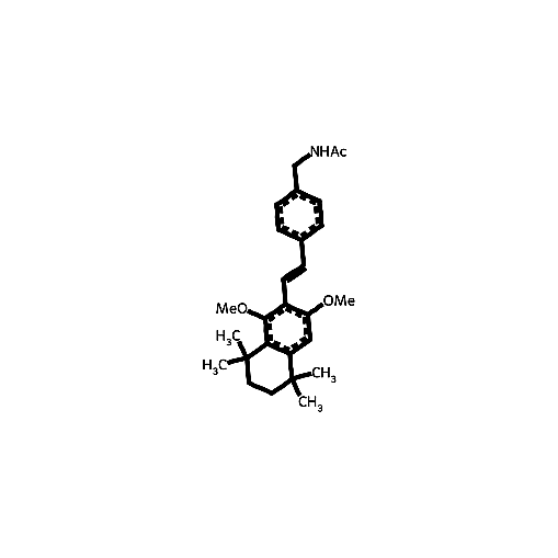 COc1cc2c(c(OC)c1/C=C/c1ccc(CNC(C)=O)cc1)C(C)(C)CCC2(C)C